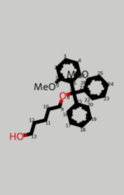 COc1ccccc1C(OCCCCCO)(c1ccccc1)c1ccccc1OC